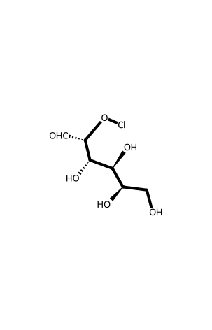 O=C[C@H](OCl)[C@@H](O)[C@@H](O)[C@H](O)CO